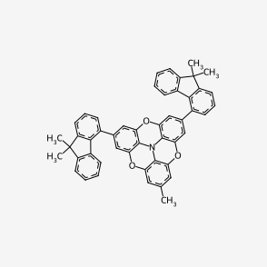 Cc1cc2c3c(c1)Oc1cc(-c4cccc5c4-c4ccccc4C5(C)C)cc4c1N3c1c(cc(-c3cccc5c3-c3ccccc3C5(C)C)cc1O4)O2